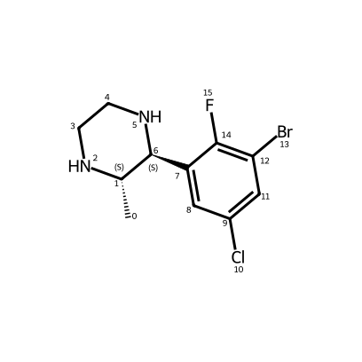 C[C@@H]1NCCN[C@H]1c1cc(Cl)cc(Br)c1F